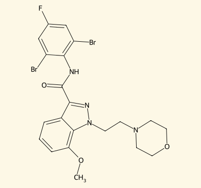 COc1cccc2c(C(=O)Nc3c(Br)cc(F)cc3Br)nn(CCN3CCOCC3)c12